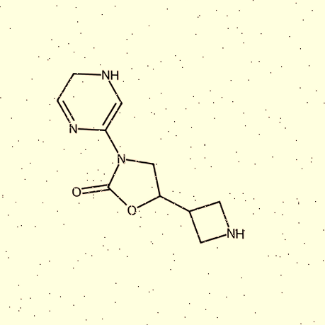 O=C1OC(C2CNC2)CN1C1=CNCC=N1